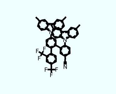 Cc1ccc2c(c1)c1cc(C)ccc1n2-c1ccc(-c2ccc(C(F)(F)F)cc2C(F)(F)F)c(-c2cc(C#N)ccc2-n2c3ccc(C)cc3c3cc(C)ccc32)c1